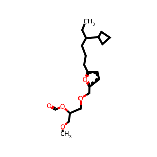 CCC(CCCc1ccc(COCC(COC)OC=O)o1)C1CCC1